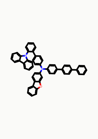 c1ccc(-c2ccc(-c3ccc(N(c4ccc(-c5ccccc5-n5c6ccccc6c6ccccc65)cc4)c4ccc5c(c4)oc4ccccc45)cc3)cc2)cc1